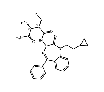 CCC[C@H](C(N)=O)[C@@H](CC(C)C)C(=O)NC1N=C(c2ccccc2)c2ccccc2N(CCC2CC2)C1=O